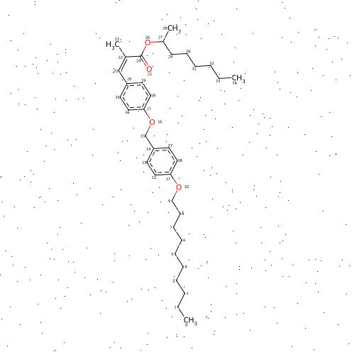 CCCCCCCCCCOc1ccc(COc2ccc(C=C(C)C(=O)OC(C)CCCCCC)cc2)cc1